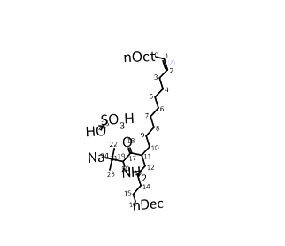 CCCCCCCC/C=C\CCCCCCCCC(CCCCCCCCCCCCCC)C(=O)C(N)[C](C)(C)[Na].O=S(=O)(O)O